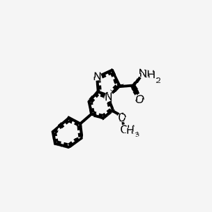 COc1cc(-c2ccccc2)cc2ncc(C(N)=O)n12